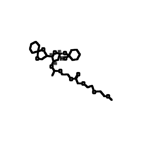 COCCOCCOCC(=O)OCCOC(C)O[C@@H]1C[C@@H](OC2(O)CCCCC2)O[C@@H]1C1COC2(CCCCC2)O1